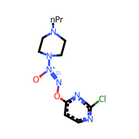 CCCN1CCN(/[N+]([O-])=N/Oc2ccnc(Cl)n2)CC1